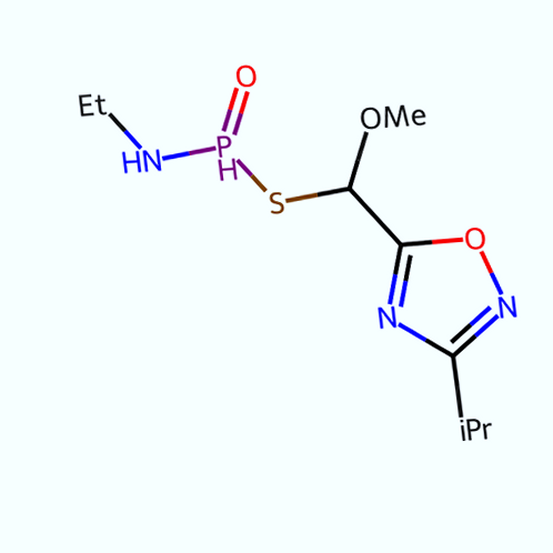 CCN[PH](=O)SC(OC)c1nc(C(C)C)no1